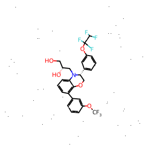 OC[C@@H](O)CN1c2cccc(-c3cccc(OC(F)(F)F)c3)c2OC[C@H]1c1cccc(OC(F)(F)C(F)F)c1